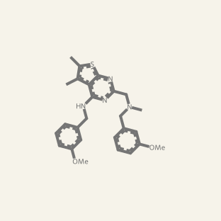 COc1cccc(CNc2nc(CN(C)Cc3cccc(OC)c3)nc3sc(C)c(C)c23)c1